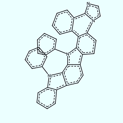 c1ccc(-n2c3ccccc3c3ccc4c5ccc6c(c7ccccc7c7nccn67)c5n(-c5ccccc5)c4c32)cc1